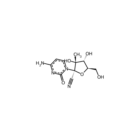 C[C@@]1(O)[C@H](O)[C@@H](CO)O[C@@]1(C#N)n1ccc(N)nc1=O